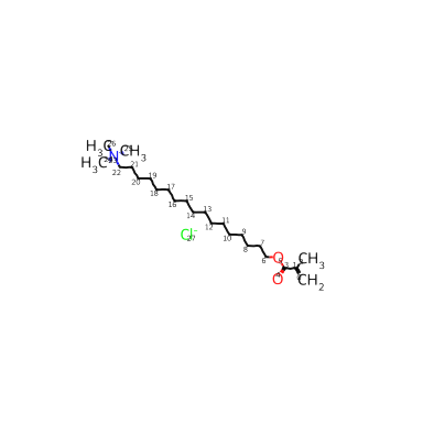 C=C(C)C(=O)OCCCCCCCCCCCCCCCCC[N+](C)(C)C.[Cl-]